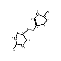 CC1CCC(CCC2COC(C)OC2)=CO1